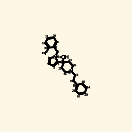 OC1(c2cccn2Cc2ccccc2F)CCN(CCc2ccccc2)CC1